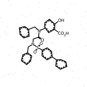 O=C(O)c1cc(N(Cc2ccccc2)C(=O)CN(Cc2ccccc2)S(=O)(=O)c2ccc(-c3ccccc3)cc2)ccc1O